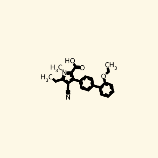 CCOc1ccccc1-c1ccc(-c2c(C#N)c(CC)n(C)c2C(=O)O)cc1